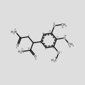 COc1cc(C(CC(N)=O)C(N)=O)cc(OC)c1OC